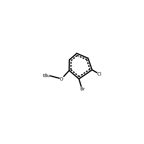 CC(C)(C)Oc1cccc(Cl)c1Br